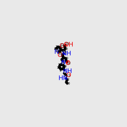 CCCNC(=O)CNc1cccc(N2CC(C(=O)NC(CC(=O)O)c3cccnc3)CC2=O)c1